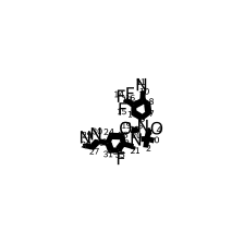 CC1(C)C(=O)N(c2ccc(C#N)c(C(F)(F)F)c2)C(=O)N1Cc1ccc(C2=CCN=N2)cc1F